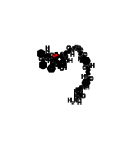 CC(=O)O[C@@]12CO[C@@H]1C[C@H](O)[C@@]1(C)C(=O)[C@H](OC(=O)CCC(=O)NC[Si](C)(C)O[Si](C)(C)CCn3ncc4cc(NC(=O)CCCNC(=O)c5ccc(NCc6cnc7nc(N)[nH]c(=O)c7n6)cc5)ccc4c3=O)C3=C(C)[C@@H](OC(=O)[C@H](O)[C@@H](NC(=O)c4ccccc4)c4ccccc4)C[C@@](O)([C@@H](OC(=O)c4ccccc4)[C@H]21)C3(C)C